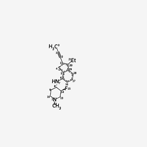 CC#Cc1sc2c(N[C@H]3CCN(C)C[C@@H]3F)cccc2c1CC